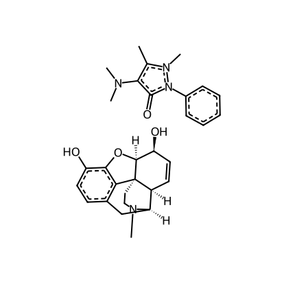 CN1CC[C@]23c4c5ccc(O)c4O[C@H]2[C@@H](O)C=C[C@H]3[C@H]1C5.Cc1c(N(C)C)c(=O)n(-c2ccccc2)n1C